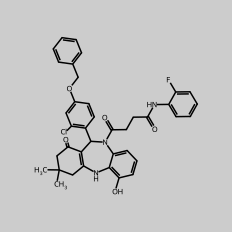 CC1(C)CC(=O)C2=C(C1)Nc1c(O)cccc1N(C(=O)CCC(=O)Nc1ccccc1F)C2c1ccc(OCc2ccccc2)cc1Cl